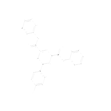 CCc1ccc(C2CC(C(=O)Nc3ccccc3)CN(C(=O)Nc3ccccc3)C2)cc1